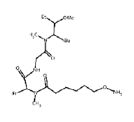 CCC(C)C(C(CC)OC)N(C)C(=O)CNC(=O)C(C(C)C)N(C)C(=O)CCCCCON